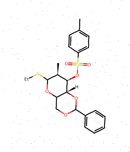 CCSC1OC2COC(c3ccccc3)O[C@H]2[C@H](OS(=O)(=O)c2ccc(C)cc2)[C@@H]1C